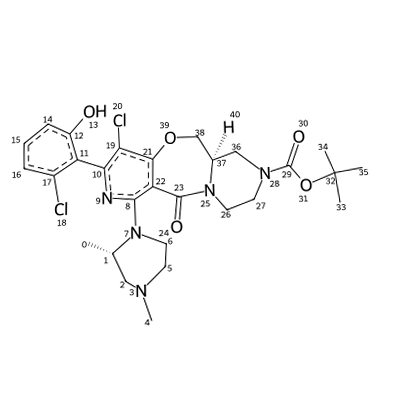 C[C@H]1CN(C)CCN1c1nc(-c2c(O)cccc2Cl)c(Cl)c2c1C(=O)N1CCN(C(=O)OC(C)(C)C)C[C@@H]1CO2